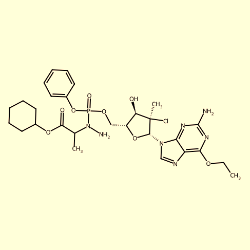 CCOc1nc(N)nc2c1ncn2[C@@H]1O[C@H](COP(=O)(Oc2ccccc2)N(N)C(C)C(=O)OC2CCCCC2)[C@@H](O)[C@@]1(C)Cl